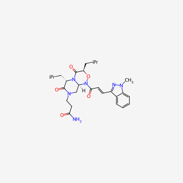 CC(C)C[C@H]1ON(C(=O)/C=C/c2nn(C)c3ccccc23)[C@H]2CN(CCC(N)=O)C(=O)[C@H](CC(C)C)N2C1=O